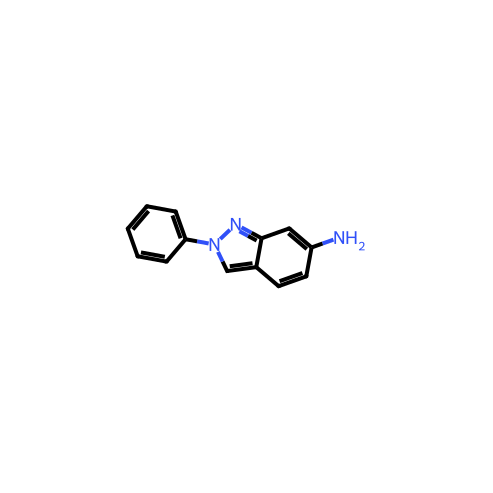 Nc1ccc2cn(-c3ccccc3)nc2c1